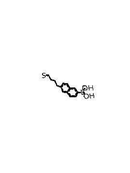 OB(O)c1ccc2cc(CCCC=S)ccc2c1